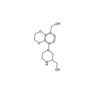 OCc1ccc(N2CCNC(CO)C2)c2c1OCCO2